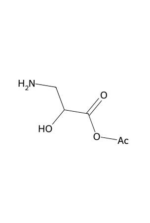 CC(=O)OC(=O)C(O)CN